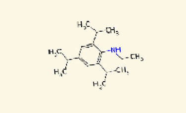 CCNc1c(C(C)C)cc(C(C)C)cc1C(C)C